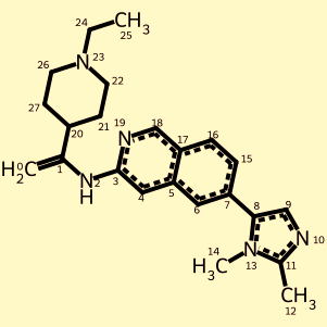 C=C(Nc1cc2cc(-c3cnc(C)n3C)ccc2cn1)C1CCN(CC)CC1